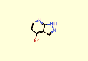 Brc1ccnc2[nH]ncc12